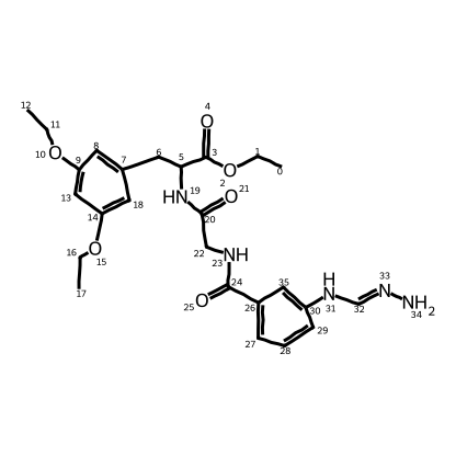 CCOC(=O)C(Cc1cc(OCC)cc(OCC)c1)NC(=O)CNC(=O)c1cccc(NC=NN)c1